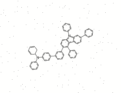 C1=CCC(N(c2ccccc2)c2ccc(-c3cccc(-c4ccc5c(c4-c4ccccc4)c4ccc(-c6ccccc6)cc4n5-c4ccccc4)c3)cc2)C=C1